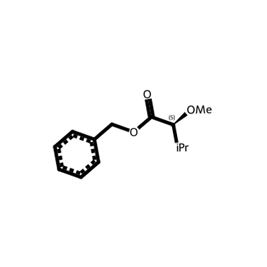 CO[C@H](C(=O)OCc1ccccc1)C(C)C